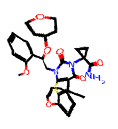 COc1ccccc1[C@H](Cn1c(=O)n(C2(C(N)=O)CC2)c(=O)c2c(C)c(/C3=C\CCC/C=C\O3)sc21)OC1CCOCC1